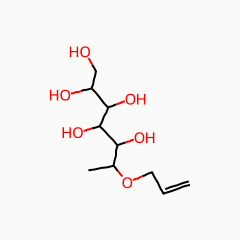 C=CCOC(C)C(O)C(O)C(O)C(O)CO